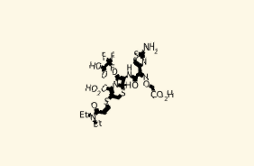 CCN(CC)C(=O)/C=C\SC1=C(C(=O)O)N2C(=O)[C@@H](NC(=O)/C(=N\OCC(=O)O)c3csc(N)n3)[C@@H]2SC1.O=C(O)C(F)(F)F